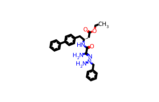 CCOC(=O)C[C@@H](Cc1ccc(-c2ccccc2)cc1)NC(=O)/C(N)=N/N(N)Cc1ccccc1